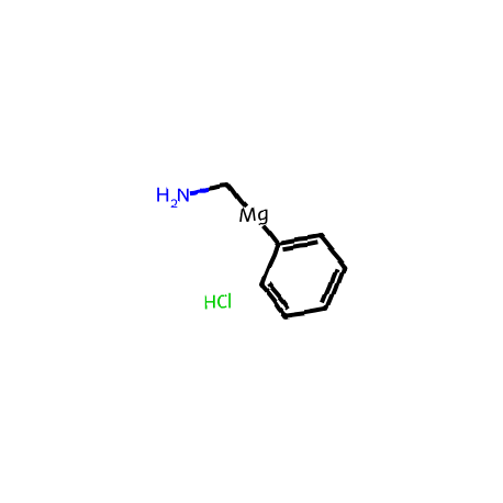 Cl.N[CH2][Mg][c]1ccccc1